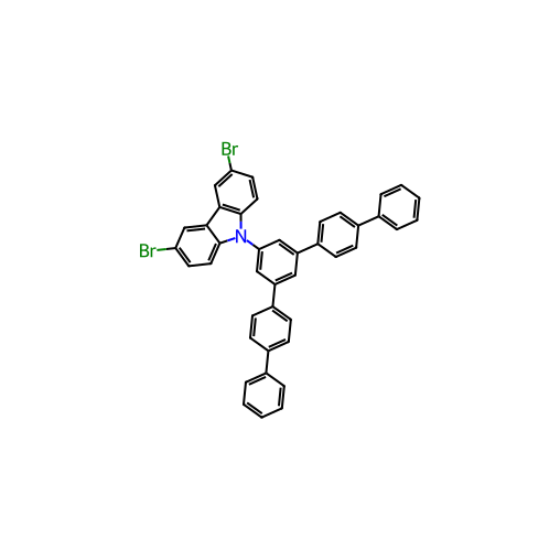 Brc1ccc2c(c1)c1cc(Br)ccc1n2-c1cc(-c2ccc(-c3ccccc3)cc2)cc(-c2ccc(-c3ccccc3)cc2)c1